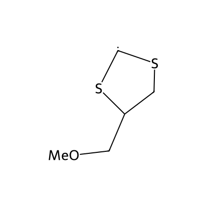 COCC1CS[CH]S1